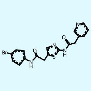 O=C(Cc1cnc(NC(=O)Cc2cccnc2)s1)Nc1ccc(Br)cc1